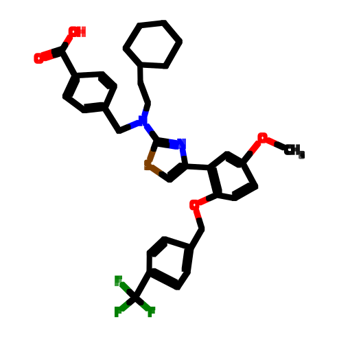 COc1ccc(OCc2ccc(C(F)(F)F)cc2)c(-c2csc(N(CCC3CCCCC3)Cc3ccc(C(=O)O)cc3)n2)c1